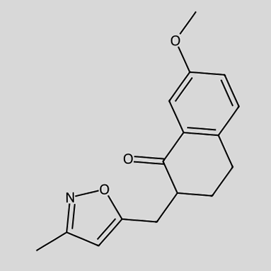 COc1ccc2c(c1)C(=O)C(Cc1cc(C)no1)CC2